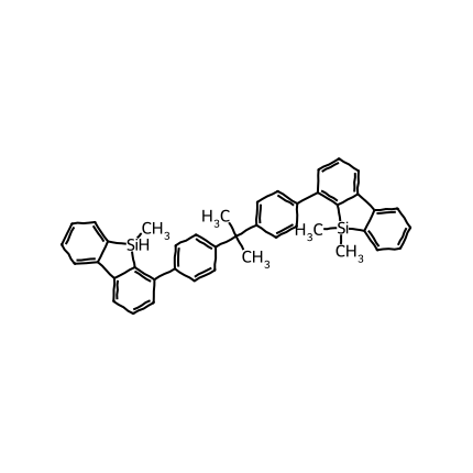 C[SiH]1c2ccccc2-c2cccc(-c3ccc(C(C)(C)c4ccc(-c5cccc6c5[Si](C)(C)c5ccccc5-6)cc4)cc3)c21